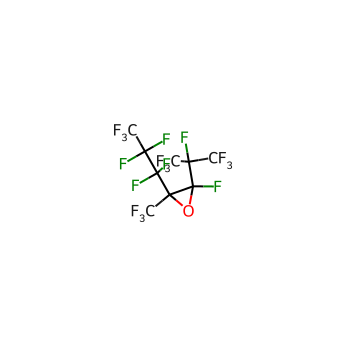 FC(F)(F)C(F)(F)C(F)(F)C1(C(F)(F)F)OC1(F)C(F)(C(F)(F)F)C(F)(F)F